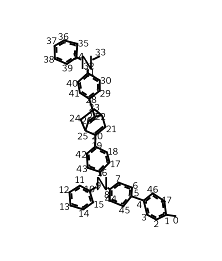 Cc1ccc(-c2ccc(N(c3ccccc3)c3ccc(C4=CC5CCC4C=C5c4ccc(N(C)c5ccccc5)cc4)cc3)cc2)cc1